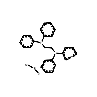 [Br][Ni][Br].c1ccc(P(CCP(c2ccccc2)c2ccccc2)c2ccccc2)cc1